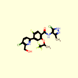 Cc1n[nH]c(Cl)c1NC(=O)c1cc(F)c(-c2ccc(Cl)c(CO)n2)cc1OC(C)C(F)(F)F